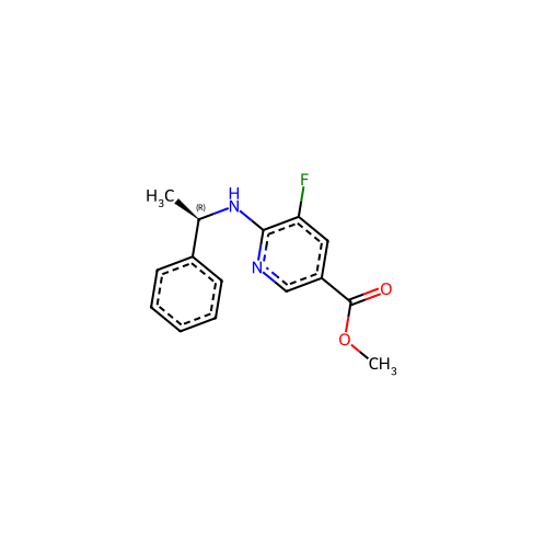 COC(=O)c1cnc(N[C@H](C)c2ccccc2)c(F)c1